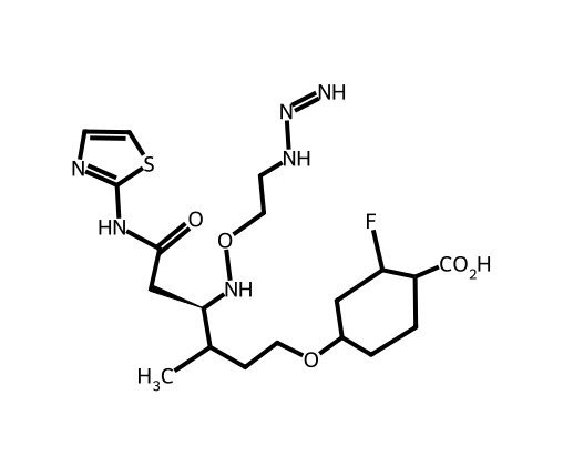 CC(CCOC1CCC(C(=O)O)C(F)C1)[C@@H](CC(=O)Nc1nccs1)NOCCNN=N